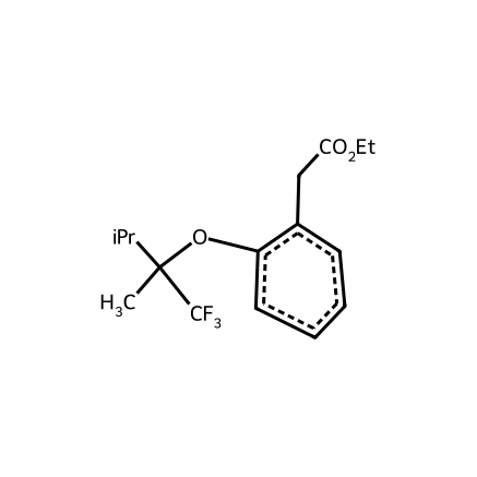 CCOC(=O)Cc1ccccc1OC(C)(C(C)C)C(F)(F)F